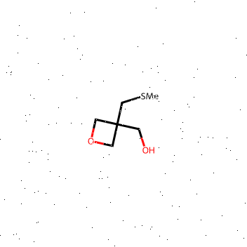 CSCC1(CO)COC1